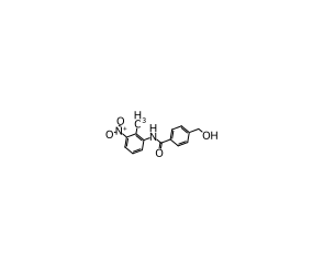 Cc1c(NC(=O)c2ccc(CO)cc2)cccc1[N+](=O)[O-]